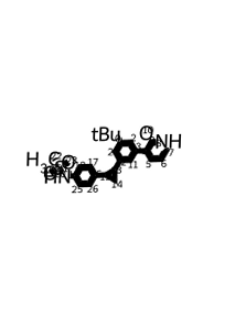 CC(C)(C)c1cc(-c2ccc[nH]c2=O)cc(C2CC2c2ccc(NS(C)(=O)=O)cc2)c1